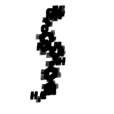 CN(CCOc1ccn2c(-c3cc(NCc4ccc(-c5cnn(C)c5)cc4)ncn3)cnc2c1)CC(F)(F)F